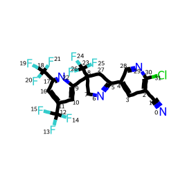 N#Cc1cc(C2=NCC(c3cc(C(F)(F)F)cc(C(F)(F)F)n3)(C(F)(F)F)C2)cnc1Cl